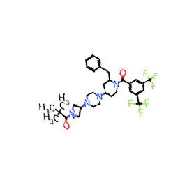 CC(C)(C)C(=O)N1CC(N2CCN(C3CCN(C(=O)c4cc(C(F)(F)F)cc(C(F)(F)F)c4)C(Cc4ccccc4)C3)CC2)C1